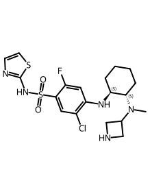 CN(C1CNC1)[C@H]1CCCC[C@@H]1Nc1cc(F)c(S(=O)(=O)Nc2nccs2)cc1Cl